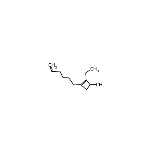 C=CCCCCC1=C(CC)C(C)C1